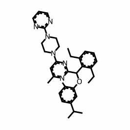 CCc1cccc(CC)c1C(Oc1cc(C(C)C)ccc1C)c1nc(C)cc(N2CCN(c3ncccn3)CC2)n1